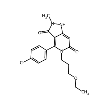 CCOCCCn1c(-c2ccc(Cl)cc2)c2c(=O)n(C)[nH]c2cc1=O